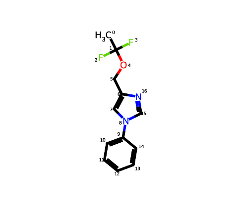 CC(F)(F)OCc1cn(-c2ccccc2)cn1